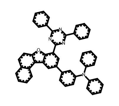 c1ccc(-c2nc(-c3ccccc3)nc(-c3cc(-c4cccc(N(c5ccccc5)c5ccccc5)c4)cc4c3oc3ccc5ccccc5c34)n2)cc1